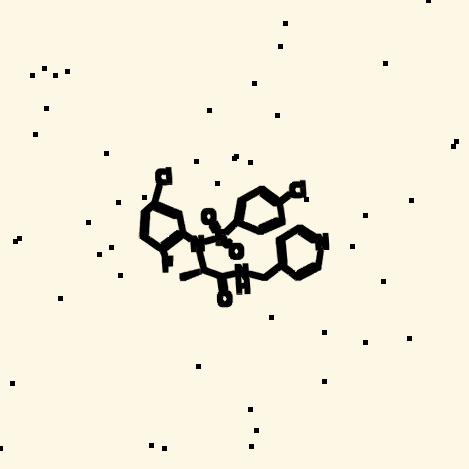 C[C@H](C(=O)NCc1ccncc1)N(c1cc(Cl)ccc1F)S(=O)(=O)c1ccc(Cl)cc1